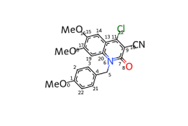 COc1ccc(Cn2c(=O)c(C#N)c(Cl)c3cc(OC)c(OC)cc32)cc1